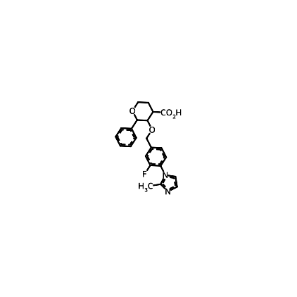 Cc1nccn1-c1ccc(COC2C(C(=O)O)CCOC2c2ccccc2)cc1F